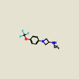 CNC1CN(c2ccc(OC(F)(F)F)cc2)C1